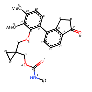 CCNC(=O)OCC1(COc2c(-c3cccc4c3CCC4=O)ccc(OC)c2OC)CC1